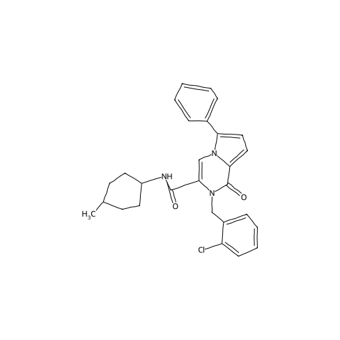 CC1CCC(NC(=O)c2cn3c(-c4ccccc4)ccc3c(=O)n2Cc2ccccc2Cl)CC1